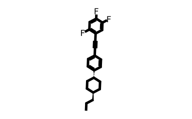 CCC[C@H]1CC[C@H](c2ccc(C#Cc3cc(F)c(F)cc3F)cc2)CC1